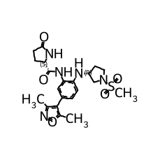 Cc1noc(C)c1-c1ccc(N[C@@H]2CCN(S(C)(=O)=O)C2)c(NC(=O)[C@@H]2CCC(=O)N2)c1